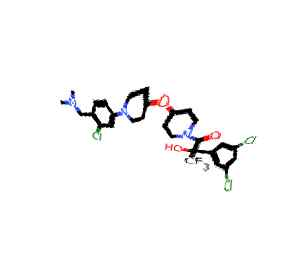 CN(C)Cc1ccc(N2CCC(OC3CCN(C(=O)C(O)(c4cc(Cl)cc(Cl)c4)C(F)(F)F)CC3)CC2)cc1Cl